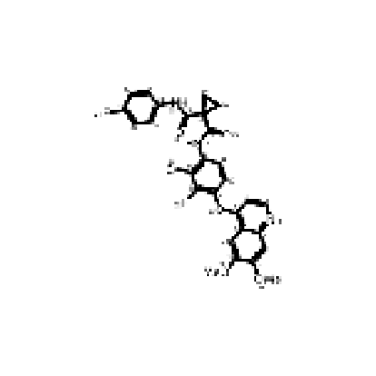 COc1cc2nccc(Oc3ccc(NC(=O)C4(C(=O)Nc5ccc(F)cc5)CC4)c(Cl)c3F)c2cc1OC